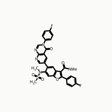 CNC(=O)c1c(-c2ccc(F)cc2)oc2cc(N(C)S(C)(=O)=O)c(-c3cnc4ncn(-c5ccc(F)cc5)c(=O)c4c3)cc12